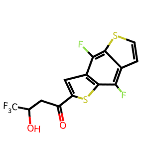 O=C(CC(O)C(F)(F)F)c1cc2c(F)c3sccc3c(F)c2s1